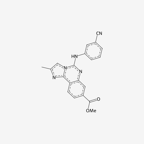 COC(=O)c1ccc2c(c1)nc(Nc1cccc(C#N)c1)n1cc(C)nc21